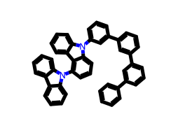 c1ccc(-c2cccc(-c3cccc(-c4cccc(-n5c6ccccc6c6c(-n7c8ccccc8c8ccccc87)cccc65)c4)c3)c2)cc1